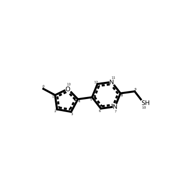 Cc1ccc(-c2cnc(CS)nc2)o1